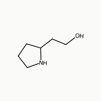 OC[CH]C1CCCN1